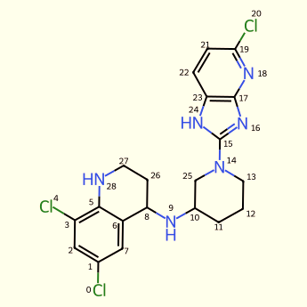 Clc1cc(Cl)c2c(c1)C(NC1CCCN(c3nc4nc(Cl)ccc4[nH]3)C1)CCN2